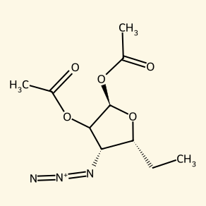 CC[C@H]1O[C@H](OC(C)=O)C(OC(C)=O)[C@H]1N=[N+]=[N-]